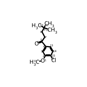 COc1cc(C(=O)CCC(C)(C)C)ccc1Cl